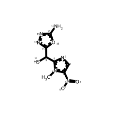 Cn1c([N+](=O)[O-])cnc1C(S)c1nnc(N)o1